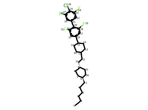 CCCCCC[C@H]1CC[C@H](CCC2CCC(c3cc(F)c(-c4cc(F)c(Cl)c(F)c4)c(F)c3)CC2)CC1